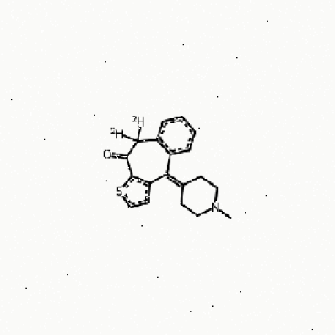 [2H]C1([2H])C(=O)c2sccc2C(=C2CCN(C)CC2)c2ccccc21